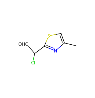 Cc1csc(C(Cl)C=O)n1